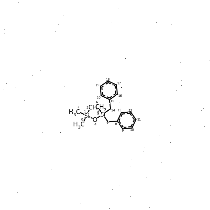 C[Si](C)(C)O[Si](C)(Cc1ccccc1)Cc1ccccc1